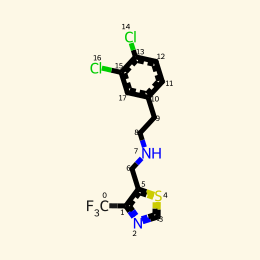 FC(F)(F)c1n[c]sc1CNCCc1ccc(Cl)c(Cl)c1